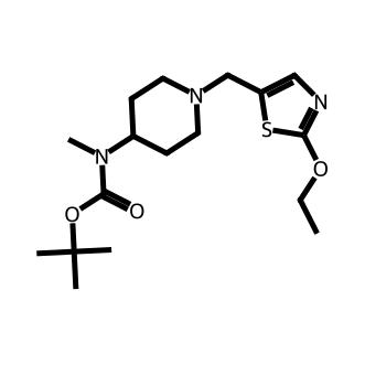 CCOc1ncc(CN2CCC(N(C)C(=O)OC(C)(C)C)CC2)s1